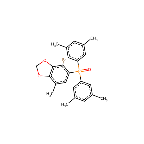 Cc1cc(C)cc(P(=O)(c2cc(C)cc(C)c2)c2cc(C)c3c(c2Br)OCO3)c1